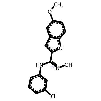 COc1ccc2oc(/C(=N\O)Nc3cccc(Cl)c3)cc2c1